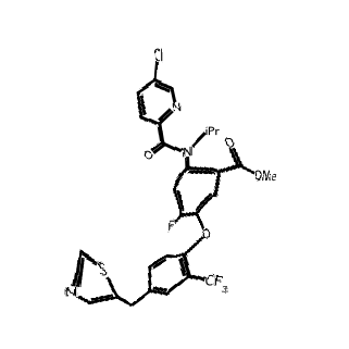 COC(=O)c1cc(Oc2ccc(Cc3cncs3)cc2C(F)(F)F)c(F)cc1N(C(=O)c1ccc(Cl)cn1)C(C)C